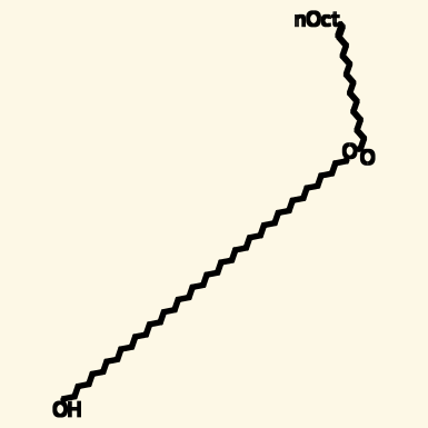 CCCCCCCCC=CCCCCCCCCCCCC(=O)OCCCCCCCCCCCCCCCCCCCCCCCCCCCCCCCCCCCCCCCCO